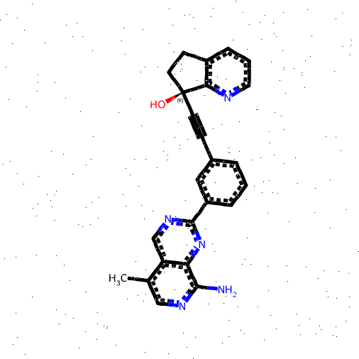 Cc1cnc(N)c2nc(-c3cccc(C#C[C@]4(O)CCc5cccnc54)c3)ncc12